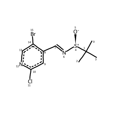 CC(C)(C)[S@+]([O-])N=Cc1cc(Cl)ncc1Br